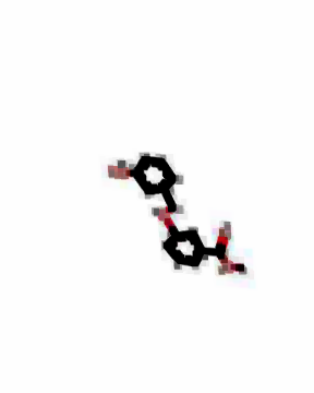 COC(=O)c1cccc(OCc2cccc(O)c2)c1